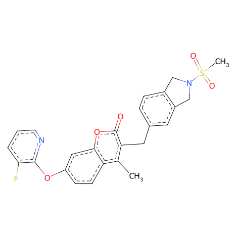 Cc1c(Cc2ccc3c(c2)CN(S(C)(=O)=O)C3)c(=O)oc2cc(Oc3ncccc3F)ccc12